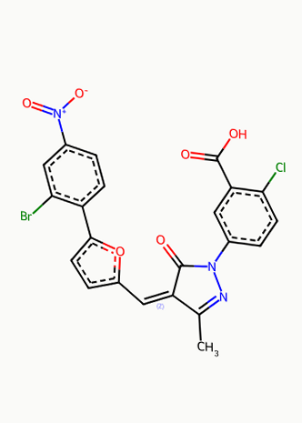 CC1=NN(c2ccc(Cl)c(C(=O)O)c2)C(=O)/C1=C\c1ccc(-c2ccc([N+](=O)[O-])cc2Br)o1